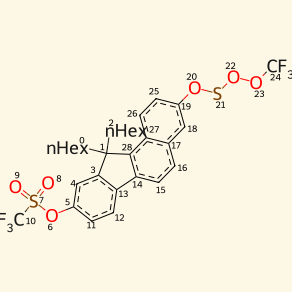 CCCCCCC1(CCCCCC)c2cc(OS(=O)(=O)C(F)(F)F)ccc2-c2ccc3cc(OSOOC(F)(F)F)ccc3c21